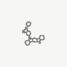 c1ccc(-n2cnc3cc(-n4c5ccccc5c5cc6sc7ccccc7c6cc54)ccc32)cc1